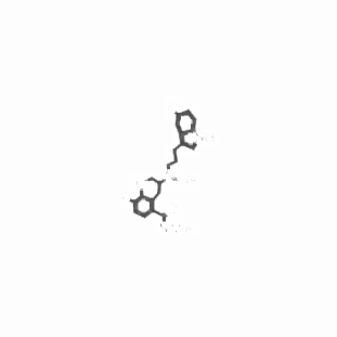 CCCN(CCCc1c[nH]c2ccc(F)cc12)C1COc2c(F)ccc(C(=O)NC)c2C1